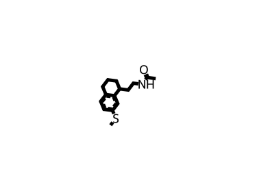 CSc1ccc2c(c1)C(CCNC(C)=O)CCC2